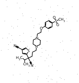 CC(C)C(C#N)(CCCN1CCN(CCOc2ccc(S(C)(=O)=O)cc2)CC1)c1cc(C#N)cs1